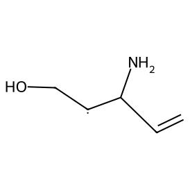 C=CC(N)[CH]CO